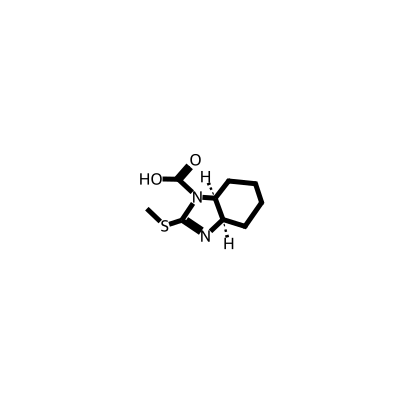 CSC1=N[C@@H]2CCCC[C@@H]2N1C(=O)O